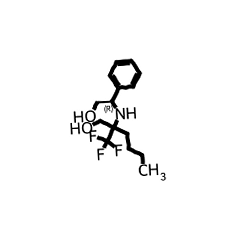 CCCCC(CO)(N[C@@H](CO)c1ccccc1)C(F)(F)F